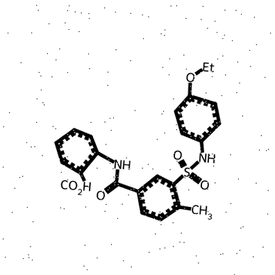 CCOc1ccc(NS(=O)(=O)c2cc(C(=O)Nc3ccccc3C(=O)O)ccc2C)cc1